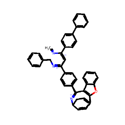 C=N/C(=C\C(=N/Cc1ccccc1)c1ccc(/C2=N/C3C=CC(=CC3)c3oc4ccccc4c32)cc1)c1ccc(-c2ccccc2)cc1